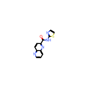 O=C(Nc1nccs1)c1ccc2ncccc2n1